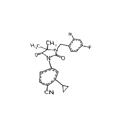 CC1(C)C(=O)N(c2ccc(C#N)c(C3CC3)c2)C(=O)N1Cc1ccc(F)cc1Br